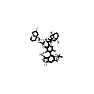 Cc1cc2[nH]nc(C#N)c2c(-c2c(F)cc3c(N4C[C@H]5CC[C@@H](C4)N5C(=O)OC(C)(C)C)nc(OC[C@@]45CCCN4C[C@H](F)C5)nc3c2F)c1OC(F)(F)Cl